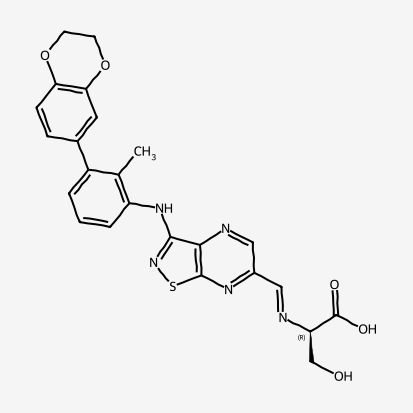 Cc1c(Nc2nsc3nc(C=N[C@H](CO)C(=O)O)cnc23)cccc1-c1ccc2c(c1)OCCO2